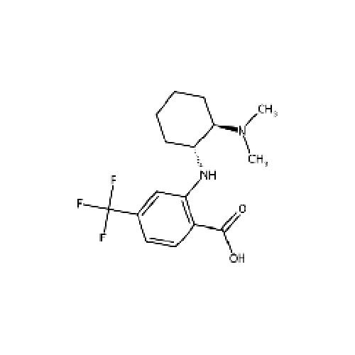 CN(C)[C@@H]1CCCC[C@H]1Nc1cc(C(F)(F)F)ccc1C(=O)O